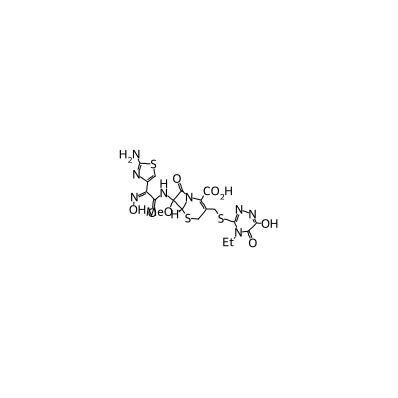 CCn1c(SCC2=C(C(=O)O)N3C(=O)C(NC(=O)/C(=N\O)c4csc(N)n4)(OC)[C@H]3SC2)nnc(O)c1=O